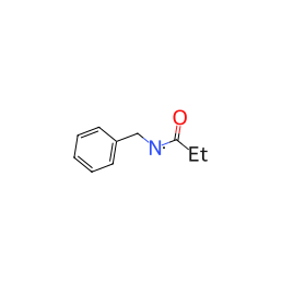 CCC(=O)[N]Cc1ccccc1